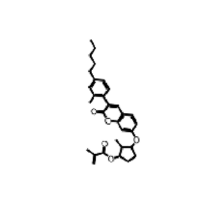 C=C(C)C(=O)OC1CCC(Oc2ccc3cc(-c4ccc(CCCCC)cc4C)c(=O)oc3c2)C1C